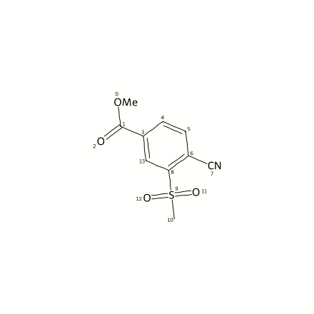 COC(=O)c1ccc(C#N)c(S(C)(=O)=O)c1